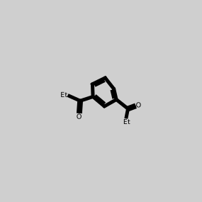 CCC(=O)c1[c]ccc(C(=O)CC)c1